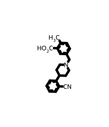 Cc1ccc(CN2CCC(c3ccccc3C#N)CC2)cc1C(=O)O